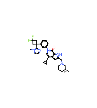 C[C@H]1CCCN(Cc2cc3c(C4CC4)cn(-c4cccc(C5(c6nccn6C)CC(F)(F)C5)c4)c(=O)c3[nH]2)C1